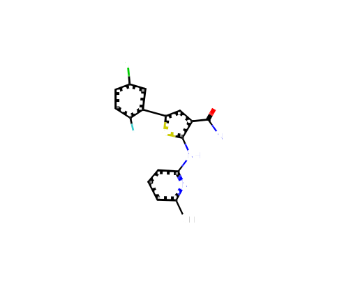 Cc1cccc(Nc2sc(-c3cc(Cl)ccc3F)cc2C(N)=O)n1